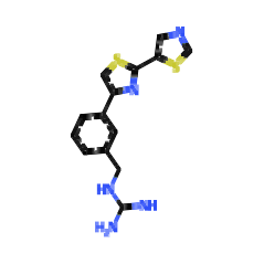 N=C(N)NCc1cccc(-c2csc(-c3cncs3)n2)c1